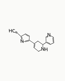 C#Cc1ccc(C2=CCNC(c3cccnc3)C2)cn1